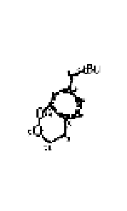 CC(C)(C)Cc1ccc2c(c1)OOCC2